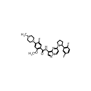 COc1cc(N2CCN(C)CC2)c(F)cc1C(=O)Nc1cnn2ccc(N3CCCC3c3cc(F)ccc3F)nc12